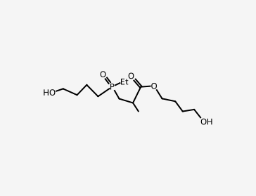 CCP(=O)(CCCCO)CC(C)C(=O)OCCCCO